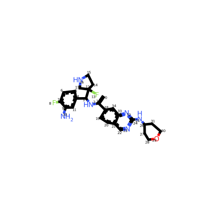 C=C(NC(c1ccc(F)c(N)c1)C1(F)CCNC1)c1ccc2cnc(NC3CCOCC3)nc2c1